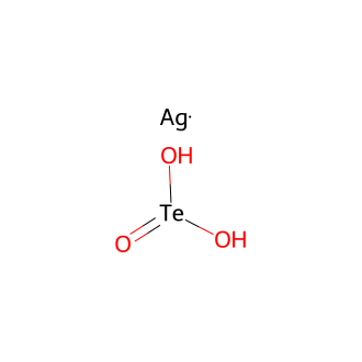 O=[Te](O)O.[Ag]